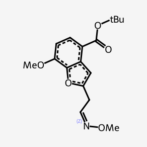 CO/N=C\Cc1cc2c(C(=O)OC(C)(C)C)ccc(OC)c2o1